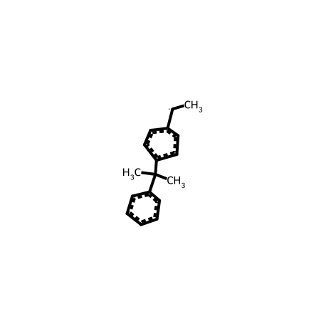 C[CH]c1ccc(C(C)(C)c2ccccc2)cc1